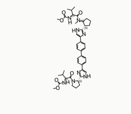 COC(=O)N[C@H](C(=O)N(C)[C@H]1CCC[C@@H]1c1nc(-c2ccc(-c3ccc(-c4c[nH]c([C@@H]5CCCN5C(=O)[C@@H](NC(=O)OC)C(C)C)n4)cc3)cc2)c[nH]1)C(C)C